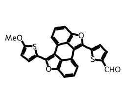 COc1ccc(-c2oc3cccc4c5c(-c6ccc(C=O)s6)oc6cccc(c2c34)c65)s1